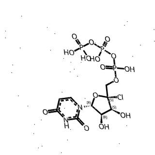 O=c1ccn([C@@H]2O[C@](Cl)(COP(=O)(O)OP(=O)(O)OP(=O)(O)O)[C@@H](O)[C@H]2O)c(=O)[nH]1